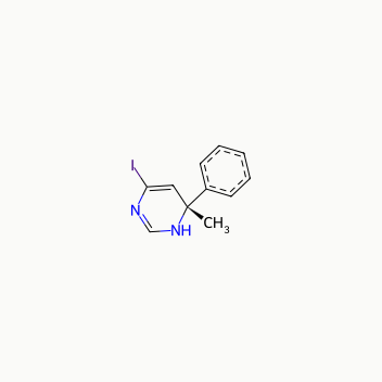 C[C@]1(c2ccccc2)C=C(I)N=CN1